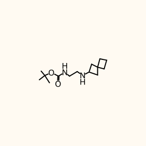 CC(C)(C)OC(=O)NCCNC1CC2(CCC2)C1